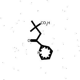 CC(C)(CC(=O)c1ccccn1)C(=O)O